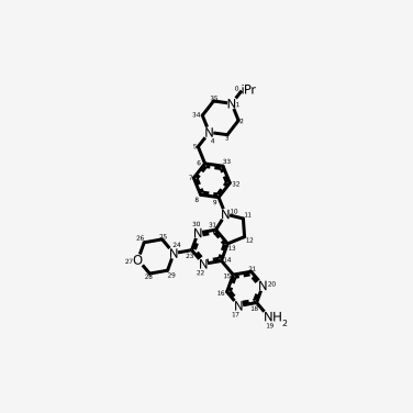 CC(C)N1CCN(Cc2ccc(N3CCc4c(-c5cnc(N)nc5)nc(N5CCOCC5)nc43)cc2)CC1